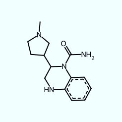 CN1CCC(C2CNc3ccccc3N2C(N)=O)C1